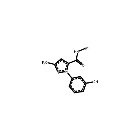 CC(C)NC(=O)c1cc(C(F)(F)F)nn1-c1cccc(C#N)c1